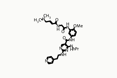 CCCNc1nc(NCCc2ccncc2)ncc1C(=O)Nc1ccc(OC)c(NC(=O)CNC(=O)/C=C/CN(C)C)c1